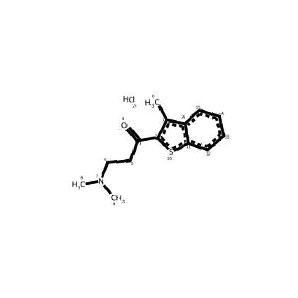 Cc1c(C(=O)CCN(C)C)sc2ccccc12.Cl